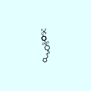 O=S(=O)(c1ccc(OC(F)(F)F)cc1)N1CCC(=NOCC2CCCC2)CC1